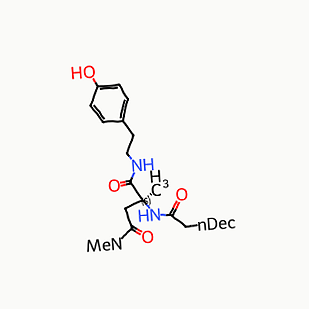 CCCCCCCCCCCC(=O)N[C@@](C)(CC(=O)NC)C(=O)NCCc1ccc(O)cc1